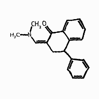 CN(C)C=C1CC(c2ccccc2)c2ccccc2C1=O